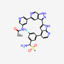 CCCCC(=O)Nc1cncc(-c2cc3c(-c4cc5c(-c6cc(F)cc(C(N)S(C)(=O)=O)c6)ccnc5[nH]4)n[nH]c3cn2)c1